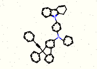 C(#CC1(c2ccccc2)c2ccccc2-c2cc(N(c3ccccc3)c3ccc(-n4c5c(c6ccccc64)C=CCC5)cc3)ccc21)c1ccccc1